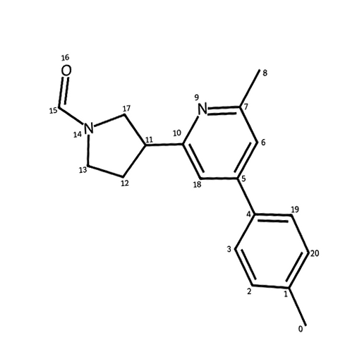 Cc1ccc(-c2cc(C)nc(C3CCN(C=O)C3)c2)cc1